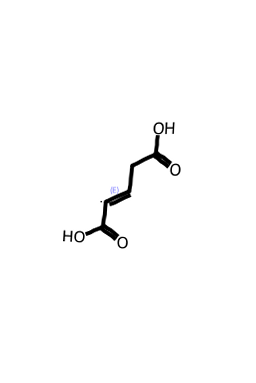 O=C(O)/[C]=C/CC(=O)O